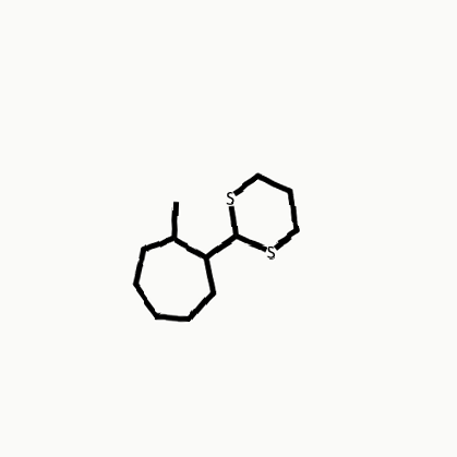 CC1CCCCCC1C1SCCCS1